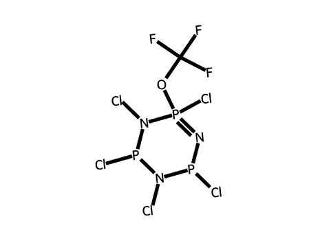 FC(F)(F)OP1(Cl)=NP(Cl)N(Cl)P(Cl)N1Cl